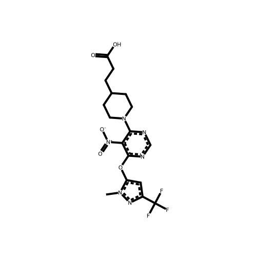 Cn1nc(C(F)(F)F)cc1Oc1ncnc(N2CCC(CCC(=O)O)CC2)c1[N+](=O)[O-]